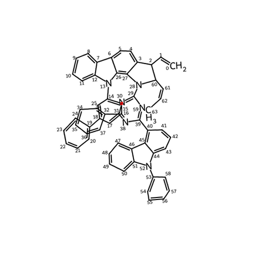 C=CC1c2ccc3c4ccccc4n(-c4cccc(-c5ccccc5)c4)c3c2N(c2nc(-c3ccccc3)nc(-c3cccc4c3c3ccccc3n4-c3ccccc3)n2)C1/C=C\C